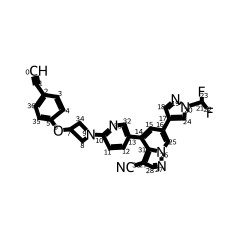 C#Cc1ccc(OC2CN(c3ccc(-c4cc(-c5cnn(C(F)F)c5)cn5ncc(C#N)c45)cn3)C2)cc1